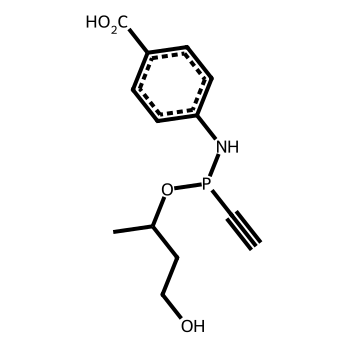 C#CP(Nc1ccc(C(=O)O)cc1)OC(C)CCO